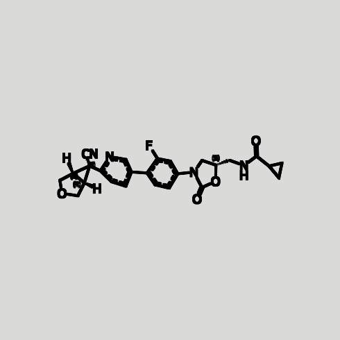 N#C[C@]1(c2ccc(-c3ccc(N4C[C@H](CNC(=O)C5CC5)OC4=O)cc3F)cn2)[C@@H]2COC[C@@H]21